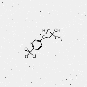 CC(C)(O)COc1ccc(S(=O)(=O)Cl)nc1